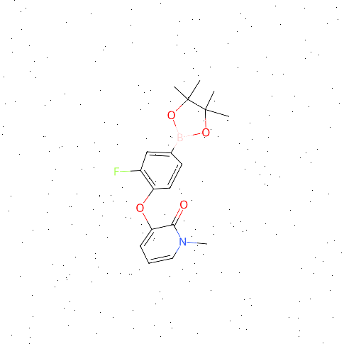 Cn1cccc(Oc2ccc(B3OC(C)(C)C(C)(C)O3)cc2F)c1=O